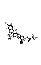 COC(=O)C(F)Cc1cc(Br)c(Oc2ccc(NC(=O)c3ccc(C)cc3)c([N+](=O)[O-])c2)c(Br)c1